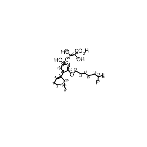 CN1CCC=C(c2nsnc2OCCCCCC(F)F)C1.O=C(O)[C@H](O)[C@@H](O)C(=O)O